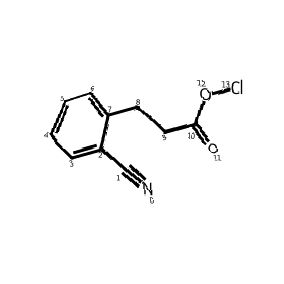 N#Cc1ccccc1CCC(=O)OCl